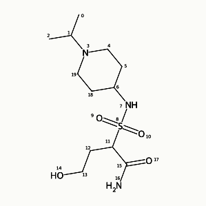 CC(C)N1CCC(NS(=O)(=O)C(CCO)C(N)=O)CC1